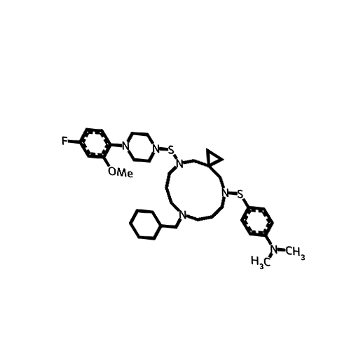 COc1cc(F)ccc1N1CCN(SN2CCCN(CC3CCCCC3)CCCN(Sc3ccc(N(C)C)cc3)CC3(CC3)C2)CC1